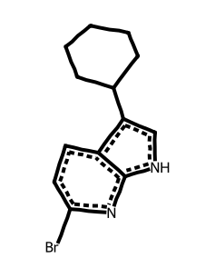 Brc1ccc2c(C3CCCCC3)c[nH]c2n1